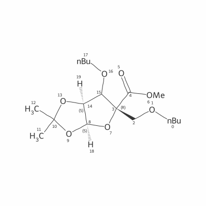 CCCCOC[C@@]1(C(=O)OC)O[C@H]2OC(C)(C)O[C@H]2C1OCCCC